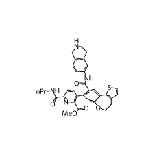 CCCNC(=O)c1ccc(-c2cc3c(cc2C(=O)Nc2ccc4c(c2)CCNC4)-c2sccc2CCO3)c(C(=O)OC)n1